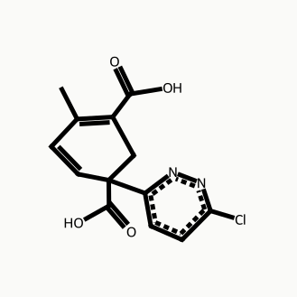 CC1=C(C(=O)O)CC(C(=O)O)(c2ccc(Cl)nn2)C=C1